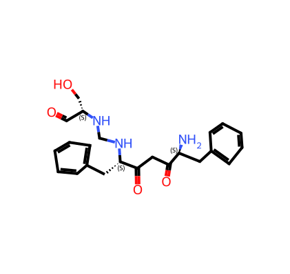 N[C@@H](Cc1ccccc1)C(=O)CC(=O)[C@H](Cc1ccccc1)NCN[C@H](C=O)CO